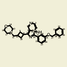 N[N+]12C=CN=CC1=C(C1CC(CN3CCOCC3)C1)N=C2c1cccc(OCc2ccccc2)c1